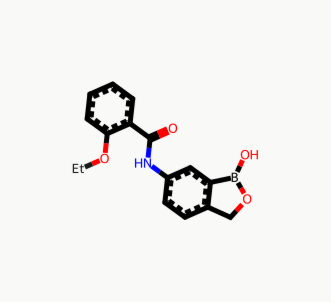 CCOc1ccccc1C(=O)Nc1ccc2c(c1)B(O)OC2